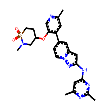 Cc1cc(-c2ccn3nc(Nc4cc(C)nc(C)n4)cc3c2)c(OC2CCS(=O)(=O)N(C)C2)cn1